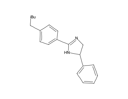 CCC(C)Cc1ccc(C2=NCC(c3ccccc3)N2)cc1